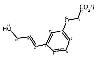 O=C(O)COc1cccc(/C=C/CO)c1